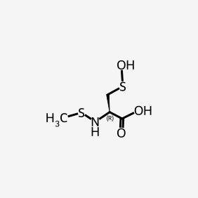 CSN[C@@H](CSO)C(=O)O